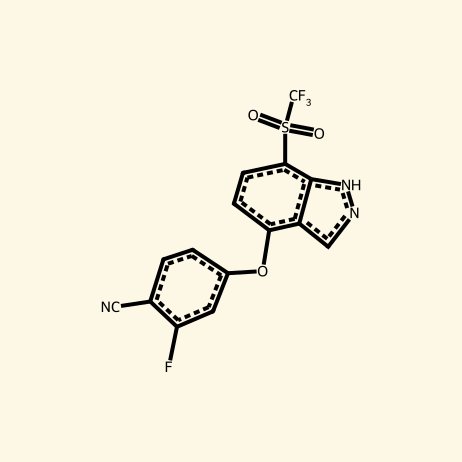 N#Cc1ccc(Oc2ccc(S(=O)(=O)C(F)(F)F)c3[nH]ncc23)cc1F